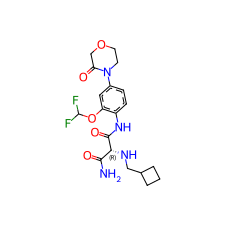 NC(=O)[C@@H](NCC1CCC1)C(=O)Nc1ccc(N2CCOCC2=O)cc1OC(F)F